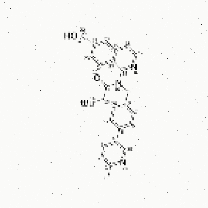 Cc1ccc(-c2ccc(CN(C(=O)CC(C)(C)C)c3nccc4cc(C(=O)O)ccc34)cc2)cn1